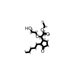 CCCCCC1C(=O)CCC1C(OCCO)C(=O)OCC